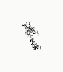 Cn1c(=O)n(C2CCCNC2)c2cccc(CCCOCCN3CCNCC3)c21